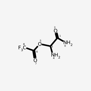 NC(=O)C(N)OC(=O)C(F)(F)F